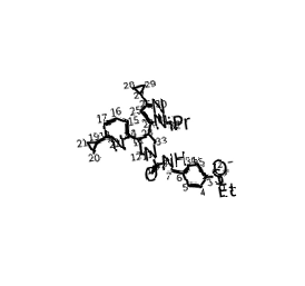 CC[S+]([O-])c1ccc(CNC(=O)N2CC(c3cccc(C4CC4)n3)C(c3cc(C4CC4)nn3C(C)C)C2)cc1